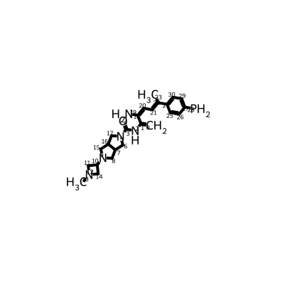 C=C(NC(=O)N1CC2CN(C3CN(C)C3)CC2C1)/C(N)=C\C=C(/C)c1ccc(P)cc1